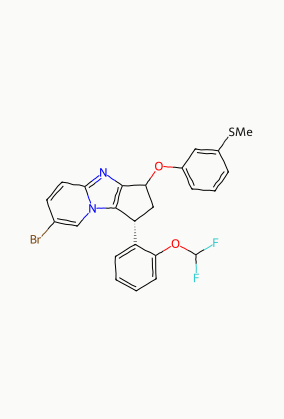 CSc1cccc(OC2C[C@H](c3ccccc3OC(F)F)c3c2nc2ccc(Br)cn32)c1